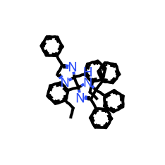 CCc1ccccc1C1(C2(c3ccccc3CC)N=C(c3ccccc3)C(c3ccccc3)(c3ccccc3)N2)N=CC(c2ccccc2)=N1